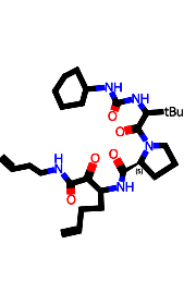 C=CCCNC(=O)C(=O)C(CCC=C)NC(=O)[C@@H]1CCCN1C(=O)C(NC(=O)NC1CCCCC1)C(C)(C)C